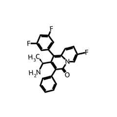 C[C@H](N)c1c(-c2ccccc2)c(=O)n2cc(F)ccc2c1-c1cc(F)cc(F)c1